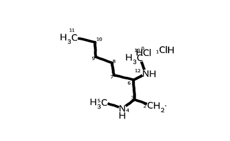 Cl.Cl.[CH2]C(NC)C(CCCCC)NC